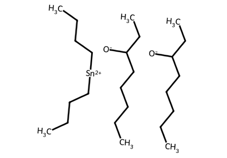 CCCCCC([O-])CC.CCCCCC([O-])CC.CCC[CH2][Sn+2][CH2]CCC